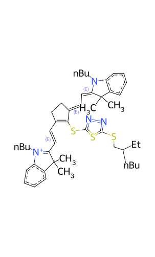 CCCCC(CC)CSc1nnc(SC2=C(/C=C/C3=[N+](CCCC)c4ccccc4C3(C)C)CC/C2=C\C=C2\N(CCCC)c3ccccc3C2(C)C)s1